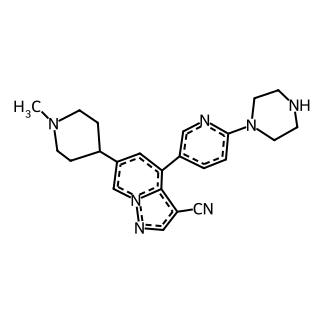 CN1CCC(c2cc(-c3ccc(N4CCNCC4)nc3)c3c(C#N)cnn3c2)CC1